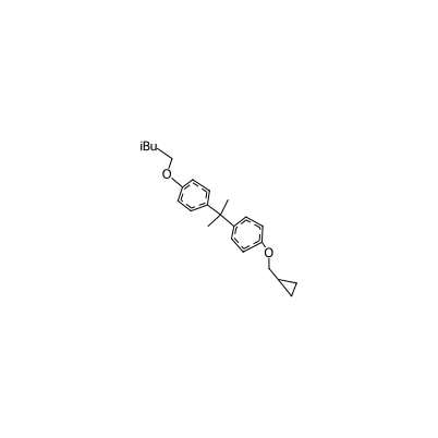 CCC(C)COc1ccc(C(C)(C)c2ccc(OCC3CC3)cc2)cc1